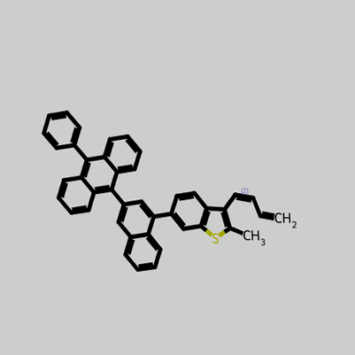 C=C/C=C\c1c(C)sc2cc(-c3cc(-c4c5ccccc5c(-c5ccccc5)c5ccccc45)cc4ccccc34)ccc12